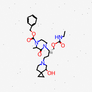 CCNC(=O)OC[C@H](CCN1CCC2(CC2)C(O)C1)N1CCN(C(=O)OCc2ccccc2)C(C)C1=O